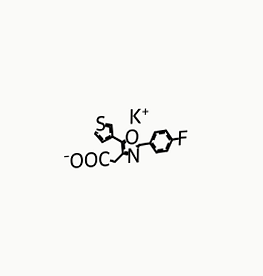 O=C([O-])Cc1nc(-c2ccc(F)cc2)oc1-c1ccsc1.[K+]